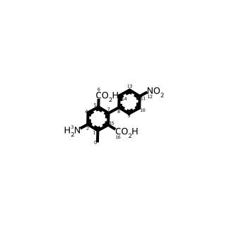 Cc1c(N)cc(C(=O)O)c(-c2ccc([N+](=O)[O-])cc2)c1C(=O)O